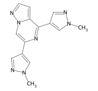 Cn1cc(-c2cn3nccc3c(-c3cnn(C)c3)n2)cn1